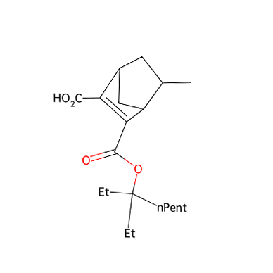 CCCCCC(CC)(CC)OC(=O)C1=C(C(=O)O)C2CC(C)C1C2